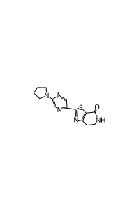 O=C1NCCc2nc(-c3cnc(N4CCCC4)cn3)sc21